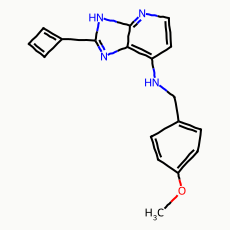 COc1ccc(CNc2ccnc3[nH]c(C4=CC=C4)nc23)cc1